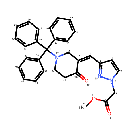 CC(C)(C)OC(=O)Cn1ccc(C=C2CN(C(c3ccccc3)(c3ccccc3)c3ccccc3)CCC2=O)n1